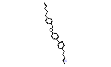 C=CCCCc1ccc(COc2ccc(-c3ccc(CC/C=C/C)cc3)cc2)cc1